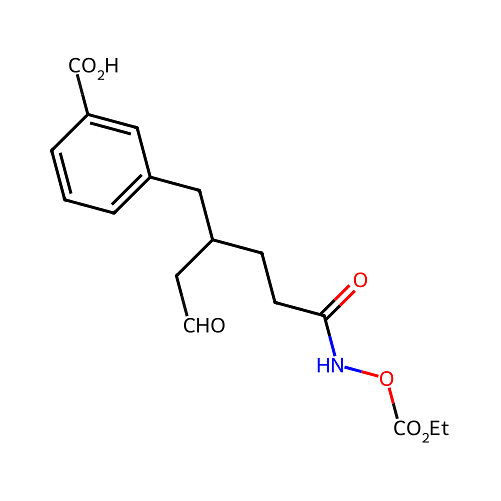 CCOC(=O)ONC(=O)CCC(CC=O)Cc1cccc(C(=O)O)c1